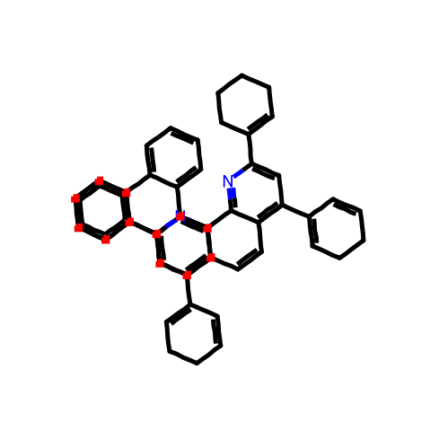 C1=CCC(c2ccccc2)C(c2ccccc2-c2ccccc2-c2cc(C3=CCCC=C3)c3ccc4c(C5=CCCC=C5)cc(C5=CCCCC5)nc4c3n2)=C1